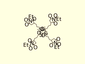 CCC(=O)N1C(=O)CC(CCC[Si]2(C)C[Si](C)(CCCC3CC(=O)N(C(=O)CC)C3=O)O[Si](C)(CCCC3CC(=O)N(C(=O)CC)C3=O)O[Si](C)(CCCC3CC(=O)N(C(=O)CC)C3=O)O2)C1=O